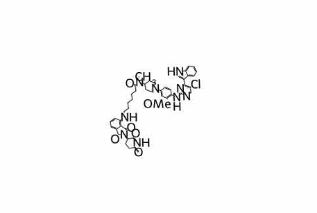 COc1cc(N2CCC(N(C)C(=O)CCCCCCNc3cccc4c3C(=O)N(C3CCC(=O)NC3=O)C4=O)CC2)ccc1Nc1ncc(Cl)c(-c2c[nH]c3ccccc23)n1